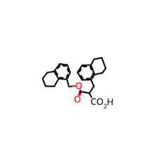 O=C(O)C(Cc1cccc2c1CCCC2)C(=O)OCc1cccc2c1CCCC2